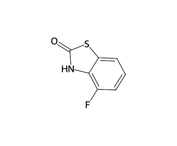 O=c1[nH]c2c(F)cccc2s1